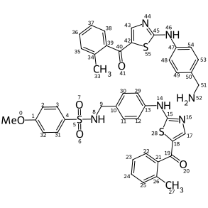 COc1ccc(S(=O)(=O)NCc2ccc(Nc3ncc(C(=O)c4ccccc4C)s3)cc2)cc1.Cc1ccccc1C(=O)c1cnc(Nc2ccc(CN)cc2)s1